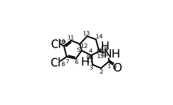 O=C1CC[C@H]2C3C=C(Cl)C(Cl)=CC3CC[C@@H]2N1